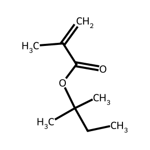 C=C(C)C(=O)OC(C)(C)CC